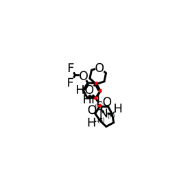 O=S(=O)(c1ccc(OC(F)F)cc1)N1[C@@H]2CC[C@H]1C[C@H](NCC1(O)CCOCC1)C2